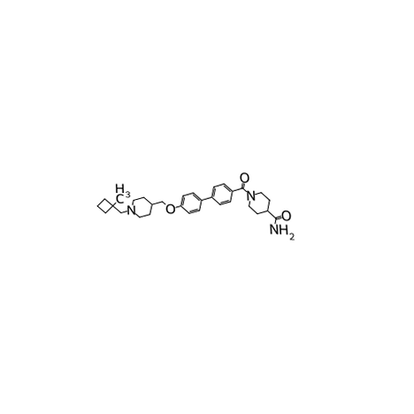 CC1(CN2CCC(COc3ccc(-c4ccc(C(=O)N5CCC(C(N)=O)CC5)cc4)cc3)CC2)CCC1